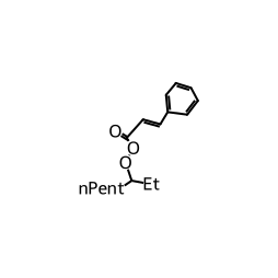 CCCCCC(CC)OOC(=O)C=Cc1ccccc1